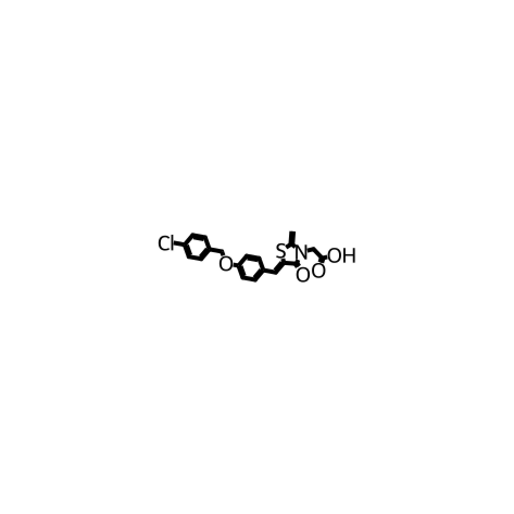 C=c1s/c(=C\c2ccc(OCc3ccc(Cl)cc3)cc2)c(=O)n1CC(=O)O